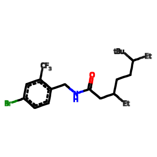 CCC(CCC(CC)C(C)(C)C)CC(=O)NCc1ccc(Br)cc1C(F)(F)F